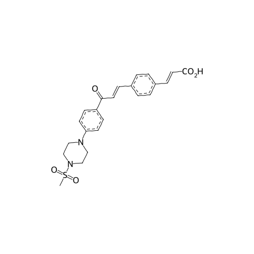 CS(=O)(=O)N1CCN(c2ccc(C(=O)/C=C/c3ccc(/C=C/C(=O)O)cc3)cc2)CC1